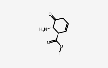 N[C@@H]1C(=O)CC=C[C@H]1C(=O)OI